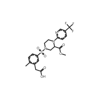 COC(=O)C1CN(S(=O)(=O)c2ccc(C)c(CC(=O)O)c2)CCN1c1ccc(C(F)(F)F)cn1